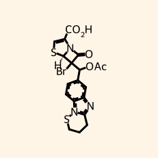 CC(=O)OC(c1ccc2c(c1)nc1n2SCCC1)C1(Br)C(=O)N2C(C(=O)O)=CS[C@@H]21